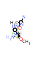 CCOC[C@]12C[C@H]1[C@@](CF)(c1cc(NC(=O)c3ncc(C#N)cc3C)ccc1F)N=C(N)S2